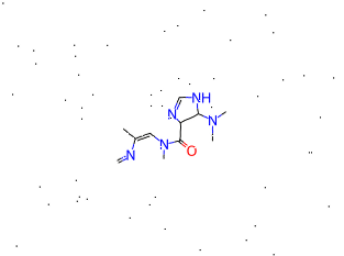 C=N/C(C)=C\N(C)C(=O)C1N=CNC1N(C)C